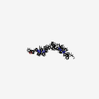 CC1(C)c2ccccc2-c2ccc(N3c4ccccc4B4c5ccccc5N(c5ccc(-c6ccc(-c7ccc8c(c7)-c7ccc(N9c%10ccccc%10B%10c%11ccccc%11N(c%11cccc(-c%12ccc%13oc%14ccccc%14c%13c%12)c%11)c%11cccc9c%11%10)cc7C8(C)C)c7c6C(C)(C)c6ccccc6-7)cc5)c5cccc3c54)cc21